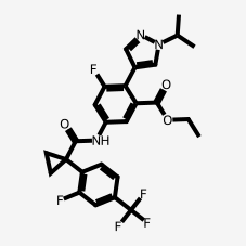 CCOC(=O)c1cc(NC(=O)C2(c3ccc(C(F)(F)F)cc3F)CC2)cc(F)c1-c1cnn(C(C)C)c1